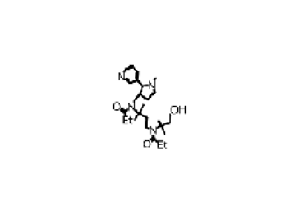 CCC(=O)N(CCC(C)(C)N(CC1CCN(C)C1c1cccnc1)C(=O)CC)C(C)(C)CCO